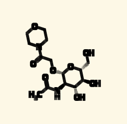 CC(=O)N[C@H]1[C@H](OCC(=O)N2CCOCC2)O[C@H](CO)[C@@H](O)[C@@H]1O